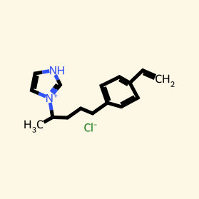 C=Cc1ccc(CCCC(C)[n+]2cc[nH]c2)cc1.[Cl-]